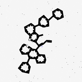 C=C/C=C(\c1oc2cccc(-c3ccc(-c4ccccc4)cc3)c2c1C)c1c2ccccc2c(-c2ccccc2)c2ccccc12